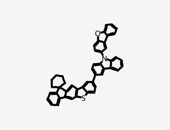 c1ccc2c(c1)-c1cc3sc4ccc(-c5ccc6c(c5)c5ccccc5n6-c5ccc6oc7ccccc7c6c5)cc4c3cc1C21CCCCC1